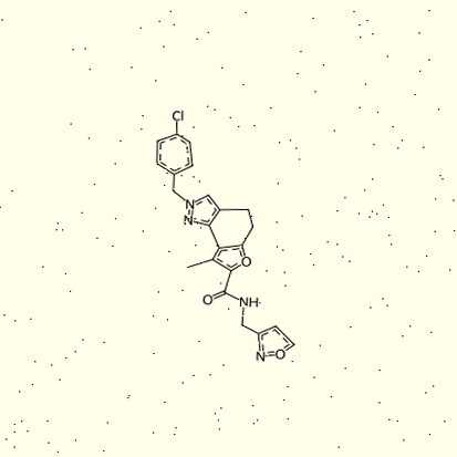 Cc1c(C(=O)NCc2ccon2)oc2c1-c1nn(Cc3ccc(Cl)cc3)cc1CC2